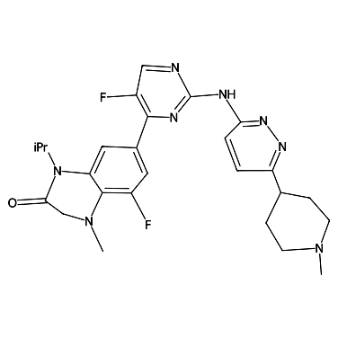 CC(C)N1C(=O)CN(C)c2c(F)cc(-c3nc(Nc4ccc(C5CCN(C)CC5)nn4)ncc3F)cc21